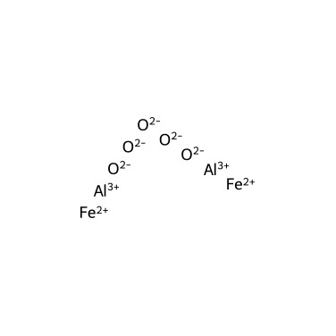 [Al+3].[Al+3].[Fe+2].[Fe+2].[O-2].[O-2].[O-2].[O-2].[O-2]